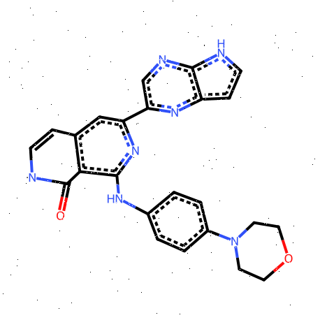 O=C1[N]C=Cc2cc(-c3cnc4[nH]ccc4n3)nc(Nc3ccc(N4CCOCC4)cc3)c21